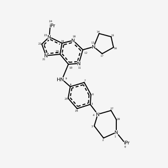 CC(C)N1CCN(c2ccc(Nc3nc(N4CCCC4)nc4c3ncn4C(C)C)cc2)CC1